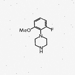 COc1cccc(F)c1N1CCNCC1